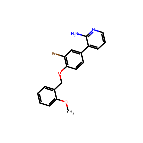 COc1ccccc1COc1ccc(-c2cccnc2N)cc1Br